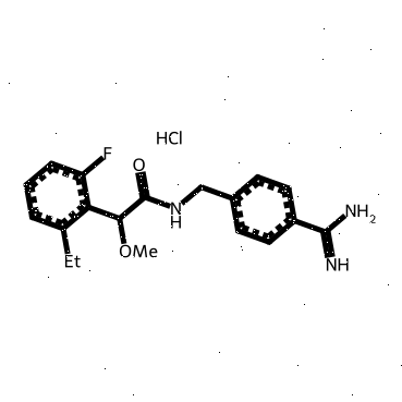 CCc1cccc(F)c1C(OC)C(=O)NCc1ccc(C(=N)N)cc1.Cl